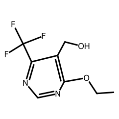 CCOc1ncnc(C(F)(F)F)c1CO